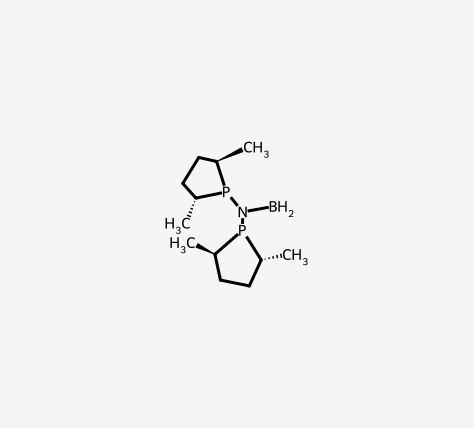 BN(P1[C@H](C)CC[C@H]1C)P1[C@H](C)CC[C@H]1C